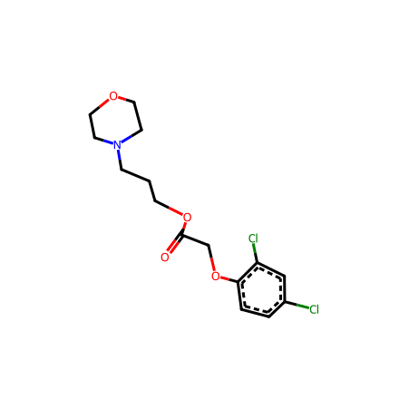 O=C(COc1ccc(Cl)cc1Cl)OCCCN1CCOCC1